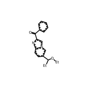 CCOC(CC)c1ccc2nc(C(=O)c3ccccc3)cn2c1